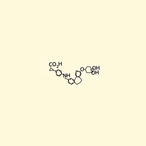 O=C(O)[C@H]1C[C@@H]1c1ccc(NCc2ccc3c(c2)-c2ccc(OC4CCS(O)(O)CC4)cc2CCC3)cc1